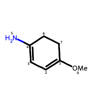 COC1=CC=C(N)CC1